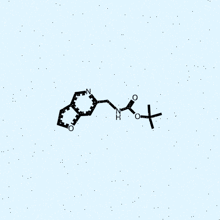 CC(C)(C)OC(=O)NCc1cc2occc2cn1